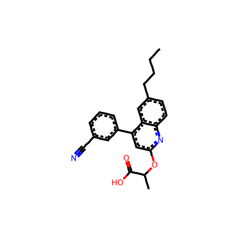 CCCCc1ccc2nc(OC(C)C(=O)O)cc(-c3cccc(C#N)c3)c2c1